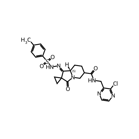 Cc1ccc(S(=O)(=O)NN=C2[C@@H]3CCC(C(=O)NCc4nccnc4Cl)CN3C(=O)C23CC3)cc1